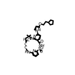 CC1(C)C[C@H]2CCCNc3cccc(n3)S(=O)(=O)NC(=O)c3ccc(-n4ccc(OCCC5CCCC5)n4)nc3N1C2